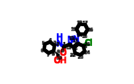 O=C(N[C@H]1CCCC[C@H]1CO)c1nn(C2CCCCC2)c2c1CCCC2Cl